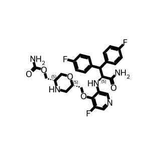 NC(=O)OC[C@@H]1CO[C@H](COc2c(F)cncc2N[C@H](C(N)=O)C(c2ccc(F)cc2)c2ccc(F)cc2)CN1